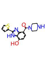 O=C(c1ccc(O)c2[nH]c(-c3cccs3)nc12)N1CCNCC1